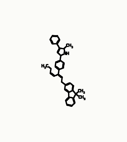 CC/C=C\C(=C/Cc1ccc2c(c1)-c1ccccc1C2(C)C)c1ccc(C2C=C(c3ccccc3)C(C)N2)cc1